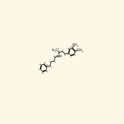 Cc1ccc(CCC(C)NCCCCc2ccccc2)cc1C